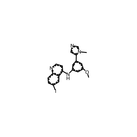 COc1cc(Nc2ccnc3ccc(I)cc23)cc(-c2cncn2C)c1